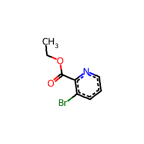 CCOC(=O)c1ncccc1Br